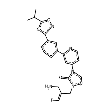 CC(C)c1nc(-c2cccc(-c3cc(-n4cnn(C/C(=C/F)CN)c4=O)ccn3)c2)no1